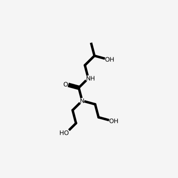 CC(O)CNC(=O)N(CCO)CCO